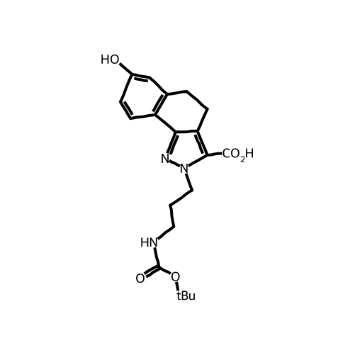 CC(C)(C)OC(=O)NCCCn1nc2c(c1C(=O)O)CCc1cc(O)ccc1-2